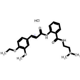 CCOc1ccc(/C=C/C(=O)Nc2ccccc2C(=O)NCCN(C)C)cc1OC.Cl